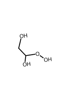 OCC(O)OO